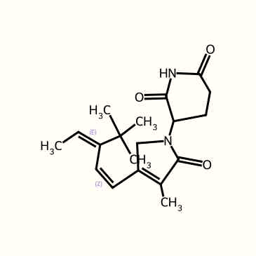 C/C=C(\C=C/C1=C(C)C(=O)N(C2CCC(=O)NC2=O)C1)C(C)(C)C